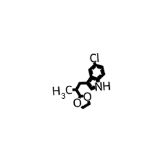 CC(Cc1c[nH]c2ccc(Cl)cc12)C1OCCO1